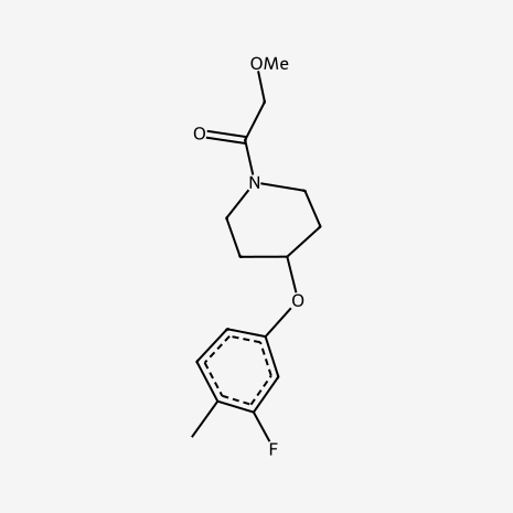 COCC(=O)N1CCC(Oc2ccc(C)c(F)c2)CC1